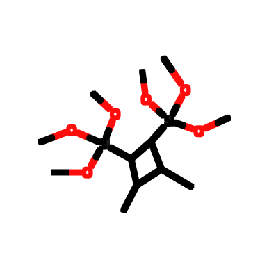 CO[Si](OC)(OC)C1C(C)C(C)C1[Si](OC)(OC)OC